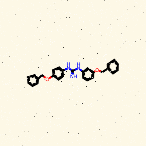 N=C(Nc1ccc(OCc2ccccc2)cc1)Nc1cccc(OCc2ccccc2)c1